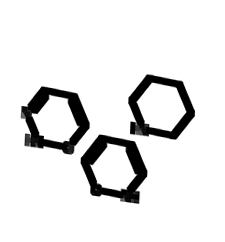 C1=CNOC=C1.C1=CONN=C1.C1CCNCC1